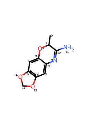 CC1Oc2cc3c(cc2N=C1N)OCO3